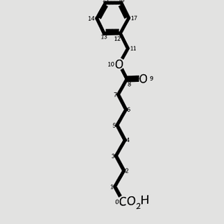 O=C(O)CCCCCCCC(=O)OCc1ccccc1